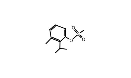 Cc1cccc(OS(C)(=O)=O)c1C(C)C